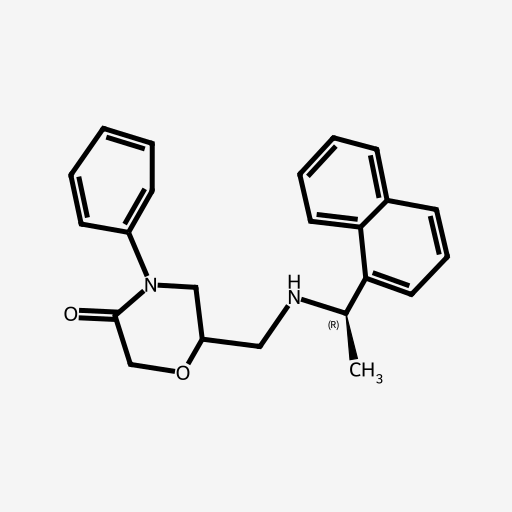 C[C@@H](NCC1CN(c2ccccc2)C(=O)CO1)c1cccc2ccccc12